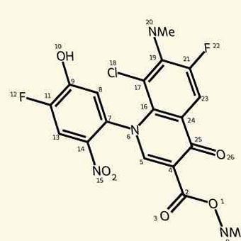 CNOC(=O)c1cn(-c2cc(O)c(F)cc2[N+](=O)[O-])c2c(Cl)c(NC)c(F)cc2c1=O